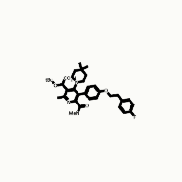 CNC(=O)c1nc(C)c(C(OC(C)(C)C)C(=O)O)c(N2CCC(C)(C)CC2)c1-c1ccc(OCCc2ccc(F)cc2)cc1